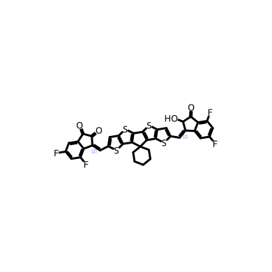 O=C1C(=O)c2cc(F)cc(F)c2/C1=C/c1cc2sc3c(c2s1)C1(CCCCC1)c1c-3sc2cc(/C=C3/c4cc(F)cc(F)c4C(=O)C3O)sc12